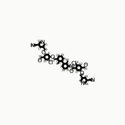 Cc1c(COc2cc(OCc3cncc(C#N)c3)c(C=O)cc2Cl)cccc1-c1cccc(NC(=O)c2cc(OCc3cncc(C#N)c3)c(C=O)cc2Cl)c1C